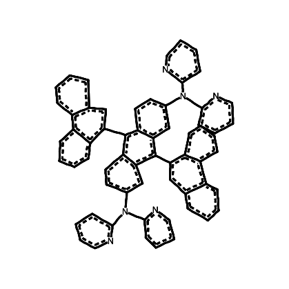 c1ccc(N(c2ccc3c(-c4cc5ccccc5c5ccccc45)c4ccc(N(c5ccccn5)c5ccccn5)cc4c(-c4cc5ccccc5c5ccccc45)c3c2)c2ccccn2)nc1